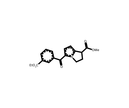 CCOC(=O)c1cccc(C(=O)c2ccc3n2CCC3C(=O)OC)c1